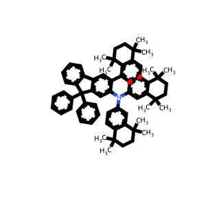 CC1(C)CCC(C)(C)c2cc(N(c3ccc4c(c3)C(C)(C)CCC4(C)C)c3cc4c(cc3-c3cccc5c3C(C)(C)CCC5(C)C)-c3ccccc3C4(c3ccccc3)c3ccccc3)ccc21